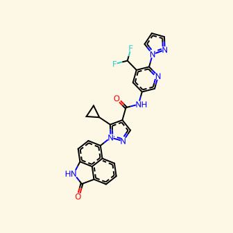 O=C(Nc1cnc(-n2cccn2)c(C(F)F)c1)c1cnn(-c2ccc3c4c(cccc24)C(=O)N3)c1C1CC1